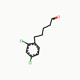 O=[C]CCCCc1ccc(Cl)cc1Cl